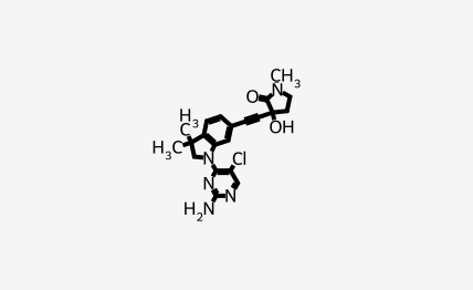 CN1CCC(O)(C#Cc2ccc3c(c2)N(c2nc(N)ncc2Cl)CC3(C)C)C1=O